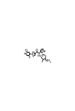 Cn1ncc(NC(=O)c2csc(-c3cc(=O)n(C)cc3F)n2)c1[C@@H]1CC[C@@H](N)[C@H](F)CO1